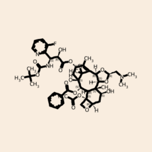 CC(=O)O[C@@]12CO[C@@H]1C[C@H](O)[C@@]1(C)[C@@H]3O[C@H](CN(C)C)O[C@@H]3C3=C(C)[C@@H](OC(=O)[C@H](O)[C@@H](NC(=O)OC(C)(C)C)c4ncccc4F)C[C@@](O)([C@@H](OC(=O)c4ccccc4)[C@H]21)C3(C)C